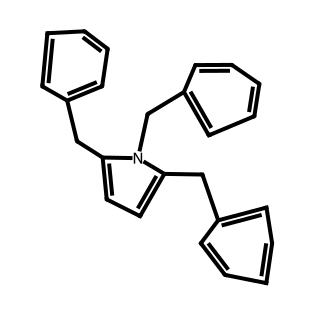 c1ccc(Cc2ccc(Cc3ccccc3)n2Cc2ccccc2)cc1